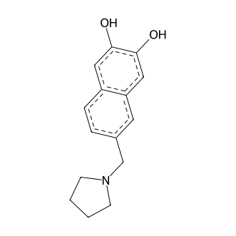 Oc1cc2ccc(CN3CCCC3)cc2cc1O